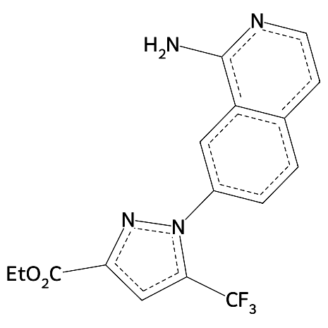 CCOC(=O)c1cc(C(F)(F)F)n(-c2ccc3ccnc(N)c3c2)n1